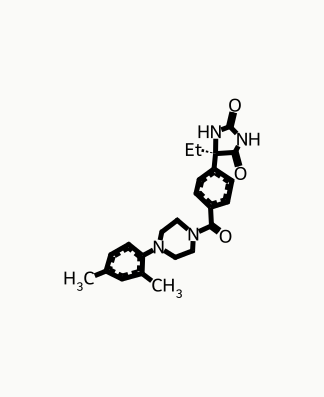 CC[C@]1(c2ccc(C(=O)N3CCN(c4ccc(C)cc4C)CC3)cc2)NC(=O)NC1=O